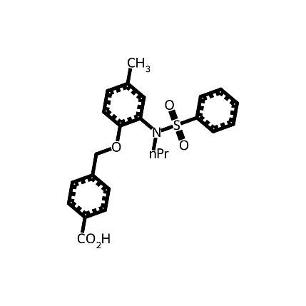 CCCN(c1cc(C)ccc1OCc1ccc(C(=O)O)cc1)S(=O)(=O)c1ccccc1